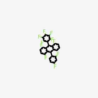 Fc1ccc(-c2c3cccc(F)c3c(-c3c(F)c(F)c(F)c(F)c3F)c3c(F)ccc(F)c23)c(F)c1